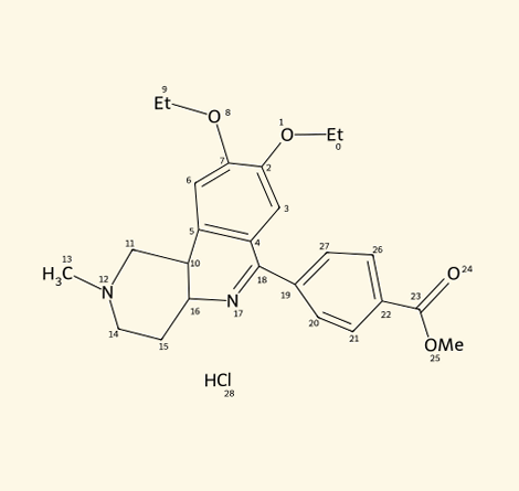 CCOc1cc2c(cc1OCC)C1CN(C)CCC1N=C2c1ccc(C(=O)OC)cc1.Cl